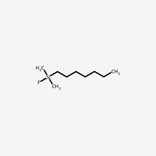 CCCCCCC[Si](C)(C)F